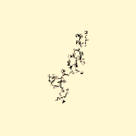 O=C(NCC(F)(F)F)NC(C(=O)N[C@@H]1C(=O)N2C(C(=O)O)=C(CSc3ccc(Cl)[n+]([O-])n3)CSC12)c1cccs1